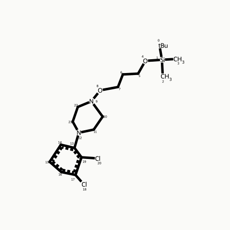 CC(C)(C)[Si](C)(C)OCCCON1CCN(c2cccc(Cl)c2Cl)CC1